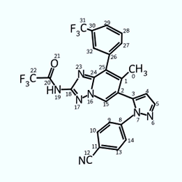 Cc1c(-c2ccnn2-c2ccc(C#N)cc2)cn2nc(NC(=O)C(F)(F)F)nc2c1-c1cccc(C(F)(F)F)c1